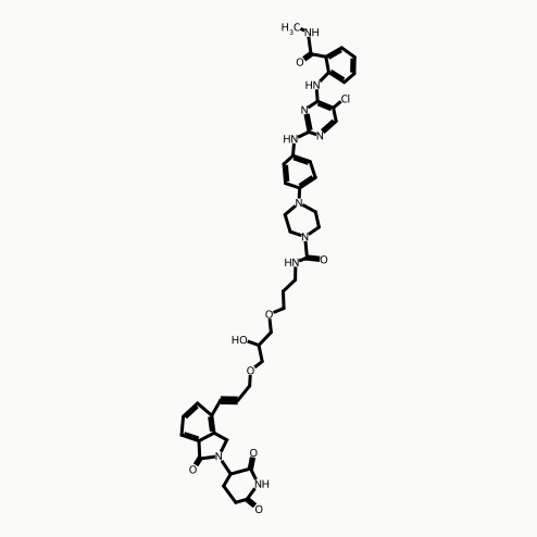 CNC(=O)c1ccccc1Nc1nc(Nc2ccc(N3CCN(C(=O)NCCCOCC(O)COCC#Cc4cccc5c4CN(C4CCC(=O)NC4=O)C5=O)CC3)cc2)ncc1Cl